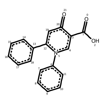 O=C(O)c1cn(-c2ccccc2)c(-c2ccccc2)cc1=O